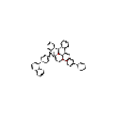 c1ccc(-c2ccc(-c3ccc(N(c4ccc(-c5cccc6ccccc56)cc4)c4ccccc4-c4cc5ccccc5c5ccccc45)cc3)cc2)cc1